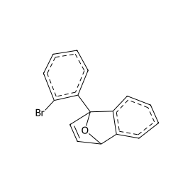 Brc1ccccc1C12C=CC(O1)c1ccccc12